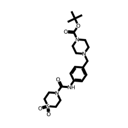 CC(C)(C)OC(=O)N1CCN(Cc2ccc(NC(=O)N3CCS(=O)(=O)CC3)cc2)CC1